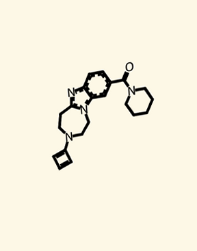 O=C(c1ccc2nc3n(c2c1)CCN(C1=CC=C1)CC3)N1CCCCC1